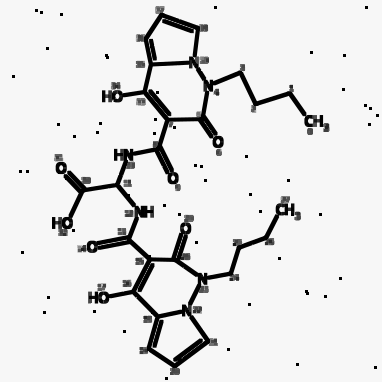 CCCCn1c(=O)c(C(=O)NC(NC(=O)c2c(O)c3cccn3n(CCCC)c2=O)C(=O)O)c(O)c2cccn21